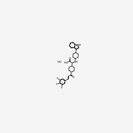 Cl.O=C(O)C(NC1CCC(c2c[nH]c3ccccc23)CC1)C1CCN(C(=O)C=Cc2cc(F)c(F)c(F)c2)CC1